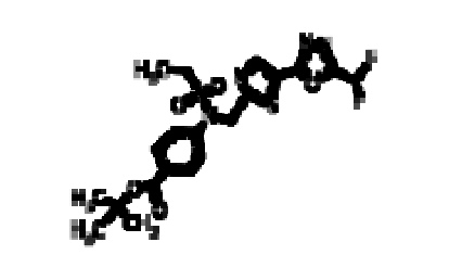 CCS(=O)(=O)N(Cc1ncc(-c2nnc(C(F)F)o2)s1)c1ccc(C(=O)OC(C)(C)C)cc1